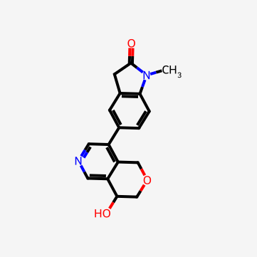 CN1C(=O)Cc2cc(-c3cncc4c3COCC4O)ccc21